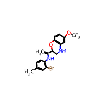 C=C(Nc1ccc(C)cc1Br)C1CNc2cc(OC(F)(F)F)ccc2O1